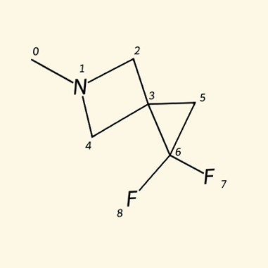 CN1CC2(C1)CC2(F)F